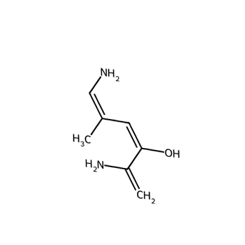 C=C(N)/C(O)=C\C(C)=C/N